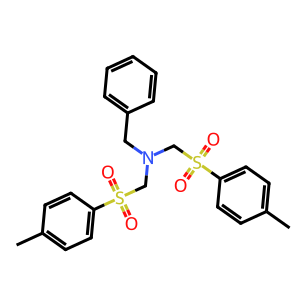 Cc1ccc(S(=O)(=O)CN(Cc2ccccc2)CS(=O)(=O)c2ccc(C)cc2)cc1